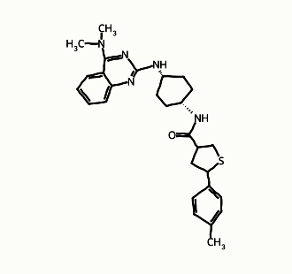 Cc1ccc(C2CC(C(=O)N[C@H]3CC[C@@H](Nc4nc(N(C)C)c5ccccc5n4)CC3)CS2)cc1